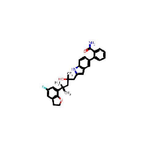 CC(C)(CC(O)(Cc1cc2cc(-c3ccccc3C(N)=O)ccc2[nH]1)C(F)(F)F)c1cc(F)cc2c1OCC2